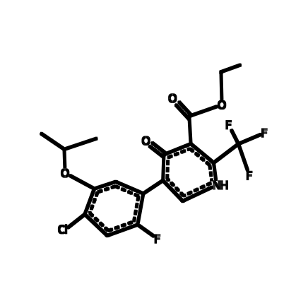 CCOC(=O)c1c(C(F)(F)F)[nH]cc(-c2cc(OC(C)C)c(Cl)cc2F)c1=O